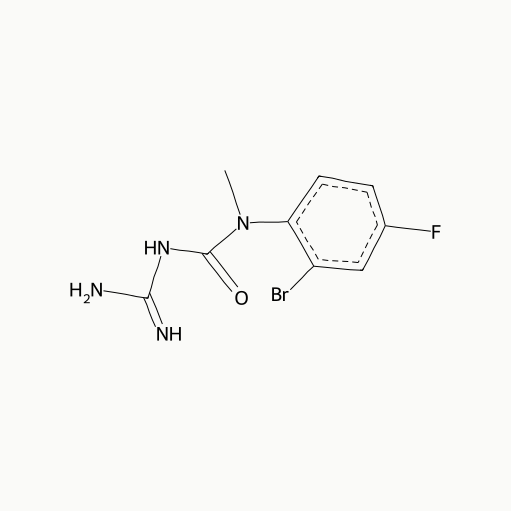 CN(C(=O)NC(=N)N)c1ccc(F)cc1Br